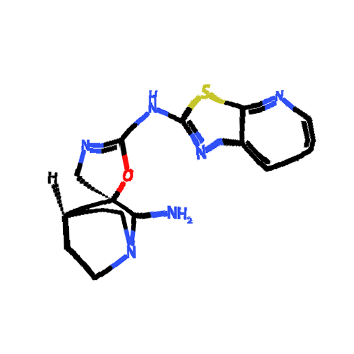 NC1N2CC[C@H](C2)[C@]12CN=C(Nc1nc3cccnc3s1)O2